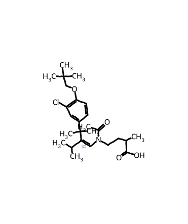 CC(=O)N(/C=C(/C(C)C)C(C)(C)c1ccc(OCC(C)(C)C)c(Cl)c1)CCC(C)C(=O)O